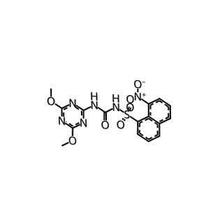 COc1nc(NC(=O)NS(=O)(=O)c2cccc3cccc([N+](=O)[O-])c23)nc(OC)n1